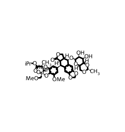 COCP(=O)(N[C@@H](C)C(=O)OC(C)C)Oc1c(OC)cc([C@@H]2c3cc4c(cc3[C@@H](O[C@@H]3O[C@@H]5CO[C@@H](C)O[C@H]5[C@H](O)[C@H]3O)[C@H]3COC(=O)[C@H]23)OCO4)cc1OC